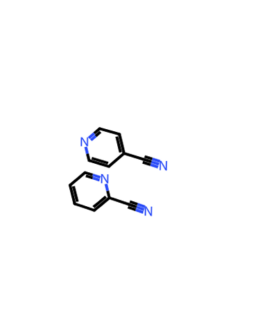 N#Cc1ccccn1.N#Cc1ccncc1